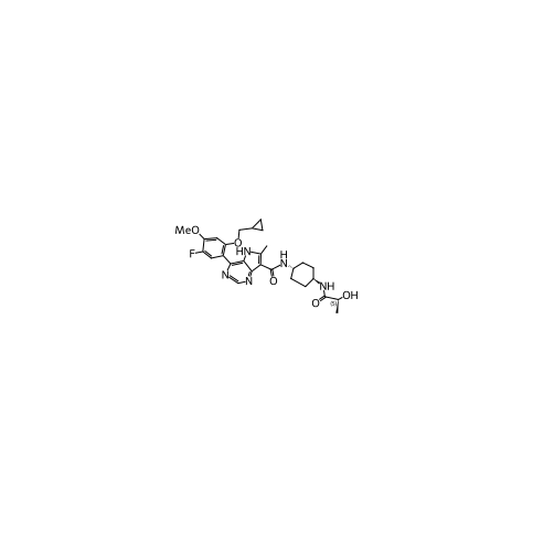 COc1cc(OCC2CC2)c(-c2ncnc3c(C(=O)N[C@H]4CC[C@H](NC(=O)[C@H](C)O)CC4)c(C)[nH]c23)cc1F